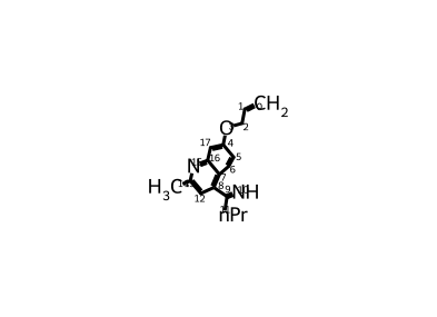 C=CCOc1ccc2c(C(=N)CCC)cc(C)nc2c1